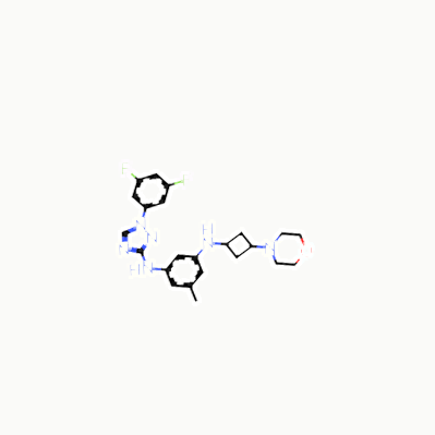 Cc1cc(Nc2ncn(-c3cc(F)cc(F)c3)n2)cc(NC2CC(N3CCOCC3)C2)c1